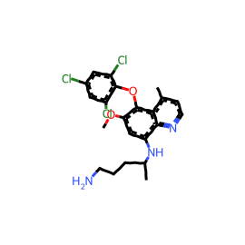 COc1cc(NC(C)CCCN)c2nccc(C)c2c1Oc1c(Cl)cc(Cl)cc1Cl